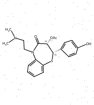 CC(=O)O[C@H]1C(=O)N(CCN(C)C)c2ccccc2S[C@H]1c1ccc(O)cc1